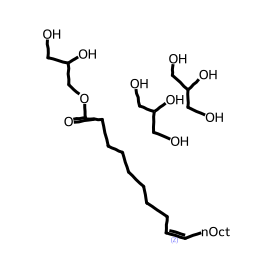 CCCCCCCC/C=C\CCCCCCCC(=O)OCC(O)CO.OCC(O)CO.OCC(O)CO